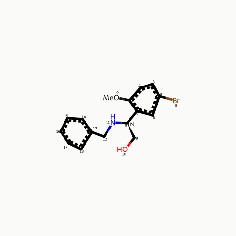 COc1ccc(Br)cc1[C@@H](CO)NCc1ccccc1